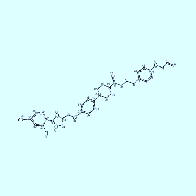 C=CCOc1ccc(CCCC(=O)N2CCN(c3ccc(OCC4COC(c5ccc(Cl)cc5Cl)O4)cc3)CC2)cc1